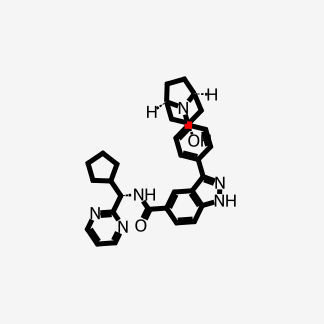 O=C(N[C@H](c1ncccn1)C1CCCC1)c1ccc2[nH]nc(-c3ccc(N4[C@@H]5CC[C@H]4C[C@H](O)C5)cc3)c2c1